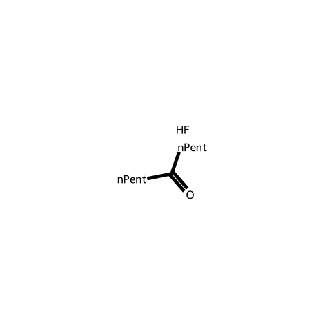 CCCCCC(=O)CCCCC.F